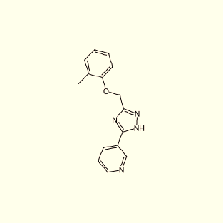 Cc1ccccc1OCc1n[nH]c(-c2cccnc2)n1